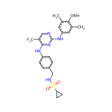 COc1c(C)cc(Nc2ncc(C(F)(F)F)c(Nc3ccc(CNS(=O)(=O)C4CC4)cc3)n2)cc1C